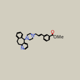 COC(=O)c1cccc(C=CCN2CCN(C3c4ccccc4CCc4ncccc43)CC2)c1